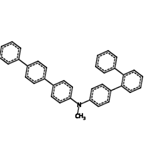 CN(c1ccc(-c2ccc(-c3ccccc3)cc2)cc1)c1ccc(-c2ccccc2-c2ccccc2)cc1